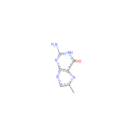 Cc1cnc2nc(N)[nH]c(=O)c2n1